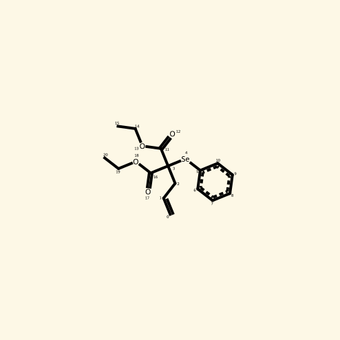 C=CCC([Se]c1ccccc1)(C(=O)OCC)C(=O)OCC